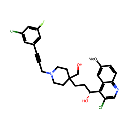 COc1ccc2ncc(Cl)c([C@H](O)CCC3(CO)CCN(CC#Cc4cc(F)cc(Cl)c4)CC3)c2c1